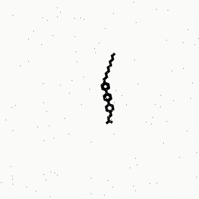 CCCCCCCCCCc1ccc(-c2ccc(C3CCC(CCC(C)C)CC3)cc2)cc1